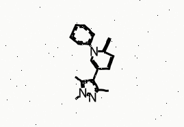 C=C1C=CC(c2c(C)nn(C)c2C)=CN1c1ccccc1